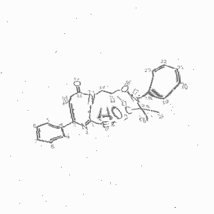 CCc1nc(-c2ccccc2)cc(=O)n1CCON(c1ccccc1)C(C)(C)C(=O)O